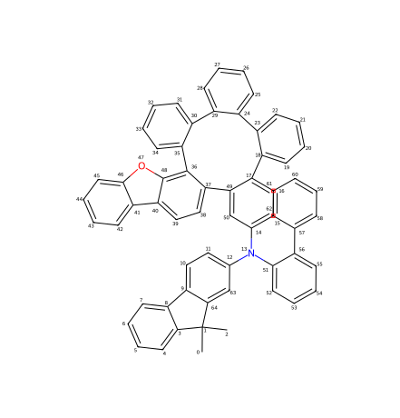 CC1(C)c2ccccc2-c2ccc(N(c3ccc4c5ccccc5c5ccccc5c5ccccc5c5c(ccc6c7ccccc7oc65)c4c3)c3ccccc3-c3ccccc3)cc21